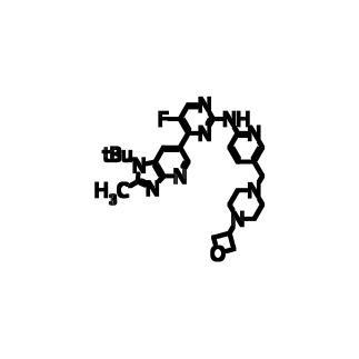 Cc1nc2ncc(-c3nc(Nc4ccc(CN5CCN(C6COC6)CC5)cn4)ncc3F)cc2n1C(C)(C)C